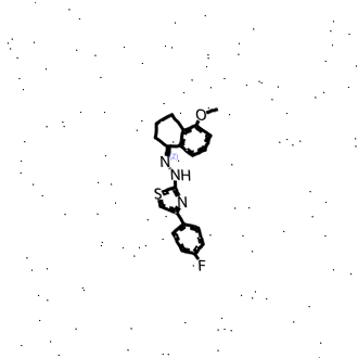 COc1cccc2c1CCC/C2=N/Nc1nc(-c2ccc(F)cc2)cs1